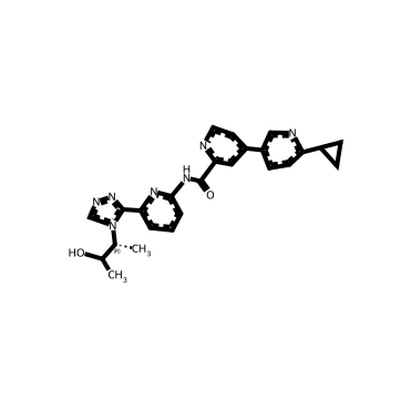 CC(O)[C@@H](C)n1cnnc1-c1cccc(NC(=O)c2cc(-c3ccc(C4CC4)nc3)ccn2)n1